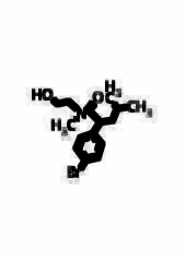 CC(C)CC(C(=O)N(C)CCO)c1ccc(Br)cc1